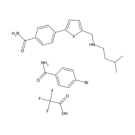 CC(C)CCNCc1ccc(-c2ccc(C(N)=O)cc2)s1.NC(=O)c1ccc(Br)cc1.O=C(O)C(F)(F)F